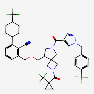 N#Cc1c(COCC2CN(C(=O)c3cnn(Cc4ccc(C(F)(F)F)cc4)c3)CC23CN(C(=O)C2(C(F)(F)F)CC2)C3)cccc1C1CCC(C(F)(F)F)CC1